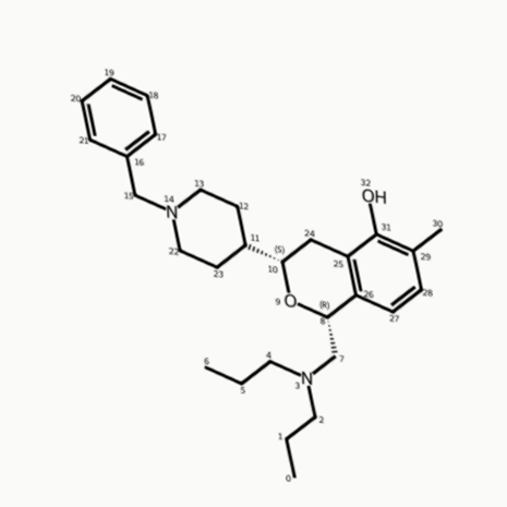 CCCN(CCC)C[C@@H]1O[C@H](C2CCN(Cc3ccccc3)CC2)Cc2c1ccc(C)c2O